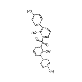 O=S(=O)(c1cccc(-c2ccc(O)cc2)c1O)c1cccc(-c2ccc(O)cc2)c1O